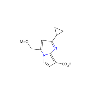 COCc1cc(C2CC2)nc2c(C(=O)O)ccn12